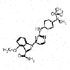 COc1cccc2c1c(C(N)=O)cn2-c1ccnc(NC2CCC(N(C)S(C)(=O)=O)CC2)n1